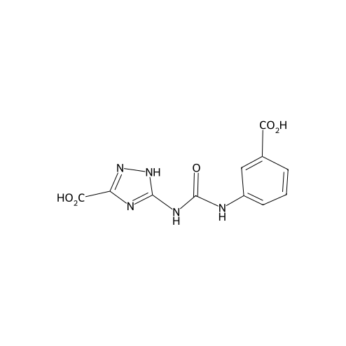 O=C(Nc1cccc(C(=O)O)c1)Nc1nc(C(=O)O)n[nH]1